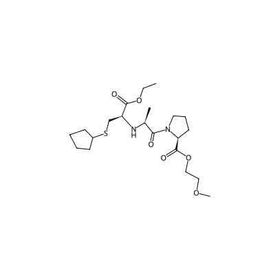 CCOC(=O)[C@H](CSC1CCCC1)N[C@@H](C)C(=O)N1CCC[C@H]1C(=O)OCCOC